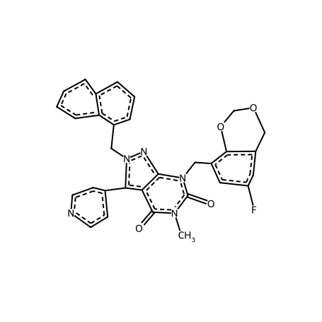 Cn1c(=O)c2c(-c3ccncc3)n(Cc3cccc4ccccc34)nc2n(Cc2cc(F)cc3c2OCOC3)c1=O